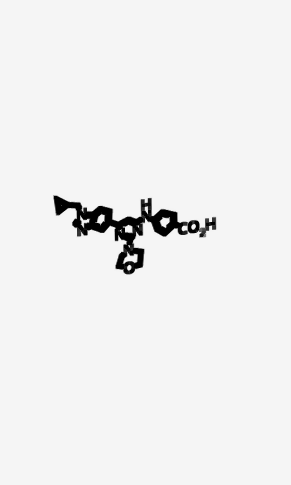 O=C(O)c1ccc(Nc2cc(-c3ccc4c(c3)ncn4CC3CC3)nc(N3CCOCC3)n2)cc1